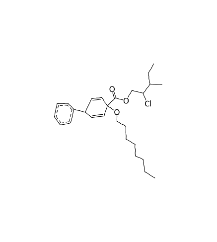 CCCCCCCCOC1(C(=O)OCC(Cl)C(C)CC)C=CC(c2ccccc2)C=C1